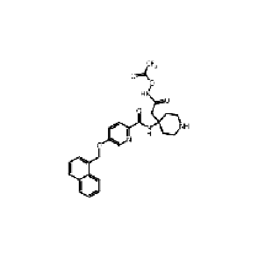 O=C(CC1(NC(=O)c2ccc(OCc3cccc4ccccc34)cn2)CCNCC1)NOC(=O)C(F)(F)F